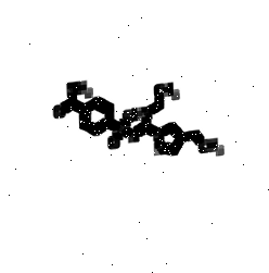 CCN/C(=N\S(=O)(=O)c1ccc(C(N)=O)cc1)N1CC(CC)C=N1